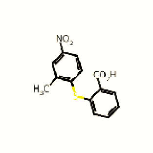 Cc1cc([N+](=O)[O-])ccc1Sc1ccccc1C(=O)O